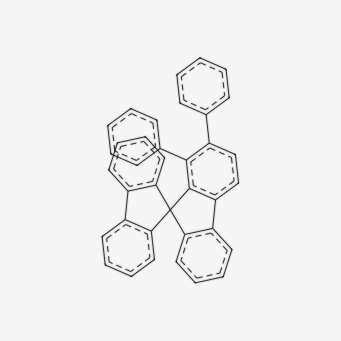 c1ccc(-c2ccc3c(c2-c2ccccc2)C2(c4ccccc4-c4ccccc42)c2ccccc2-3)cc1